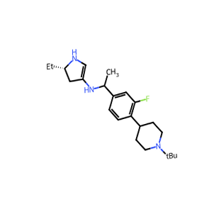 CC[C@H]1CC(NC(C)c2ccc(C3CCN(C(C)(C)C)CC3)c(F)c2)=CN1